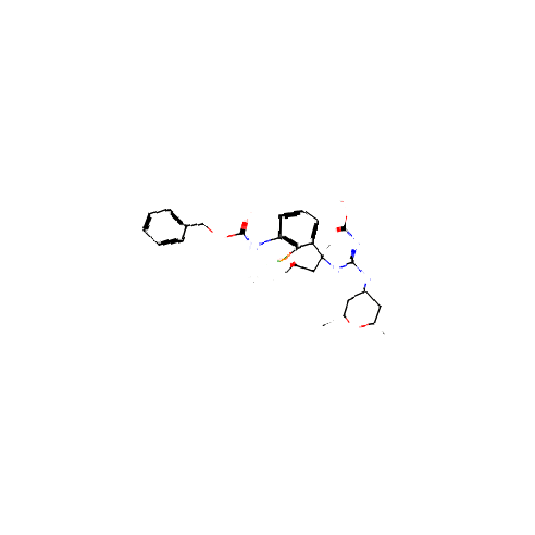 COC(=O)C[C@@](C)(N/C(=N\C(=O)OC(C)(C)C)NC1C[C@@H](C)O[C@@H](C)C1)c1cccc(NC(=O)OCc2ccccc2)c1Cl